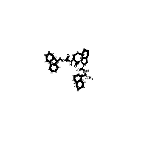 C[C@@H](NC(=O)[C@@H]1Cc2cccc3c2N1C(=O)[C@@H](NC(=O)OCC1c2ccccc2-c2ccccc21)CC3)c1cccc2ccccc12